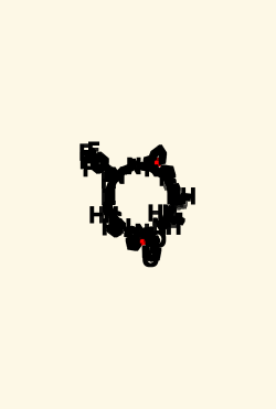 CC[C@H](C)[C@H]1CN[C@@H](CC(C)C)C(C)NCC2[C@@H](C(=O)N3CCOCC3)C(C)N2[C@@H](C2CCCC2)C(C)NC2(CCCC2)CNCCNC=CC(CCc2ccc(C(F)(F)F)c(F)c2)=NC=CN(C)C=C(CC2CCCCC2)N(C)C=C2CCCN2[C@@H](C)C(C)N1